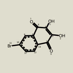 O=C1C(O)=C(O)C(=O)c2cc(Br)ccc21